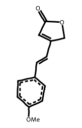 COc1ccc(/C=C/C2=CC(=O)OC2)cc1